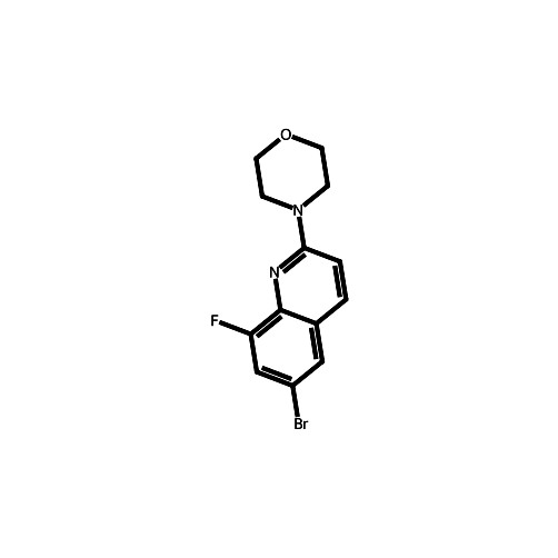 Fc1cc(Br)cc2ccc(N3CCOCC3)nc12